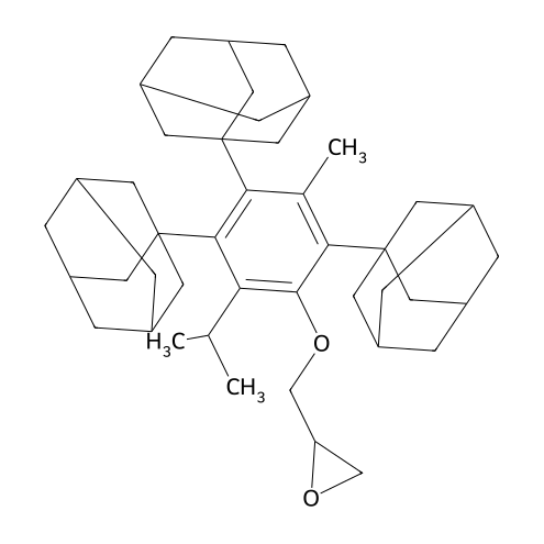 Cc1c(C23CC4CC(CC(C4)C2)C3)c(OCC2CO2)c(C(C)C)c(C23CC4CC(CC(C4)C2)C3)c1C12CC3CC(CC(C3)C1)C2